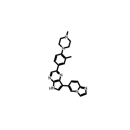 Cc1cc(-c2cnc3[nH]cc(-c4ccc5nccn5c4)c3n2)ccc1N1CCN(C)CC1